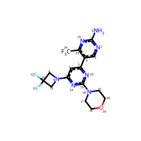 Nc1ncc(-c2cc(N3CC(F)(F)C3)nc(N3CCOCC3)n2)c(C(F)(F)F)n1